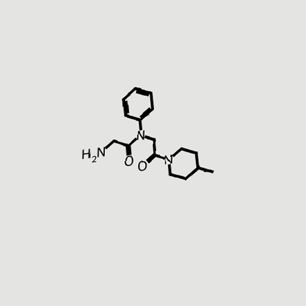 CC1CCN(C(=O)CN(C(=O)CN)c2ccccc2)CC1